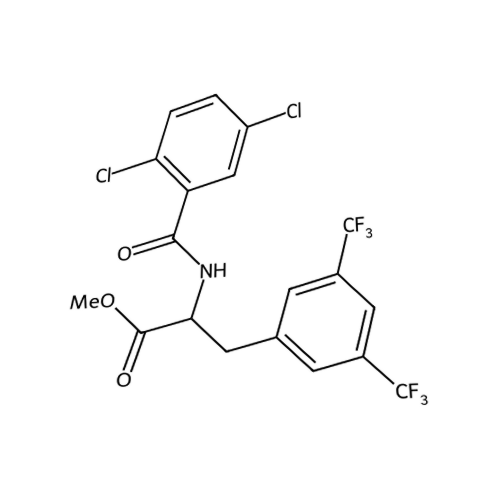 COC(=O)C(Cc1cc(C(F)(F)F)cc(C(F)(F)F)c1)NC(=O)c1cc(Cl)ccc1Cl